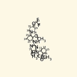 COc1c(Nc2ncc(Cl)c(Nc3ccccc3P(C)(C)=O)n2)cccc1N1CCC(OC(F)F)CC1